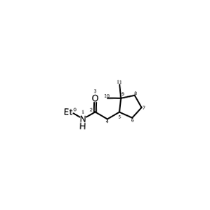 CCNC(=O)CC1CCCC1(C)C